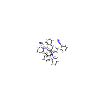 N#Cc1ccccc1-c1cc(-c2cccc(C#N)c2-n2c3ccccc3c3ccccc32)cc(-n2c3ccccc3c3ccccc32)c1